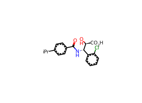 CC(C)c1ccc(C(=O)N[C@@H](c2ccccc2Cl)[C@@H](O)C(=O)O)cc1